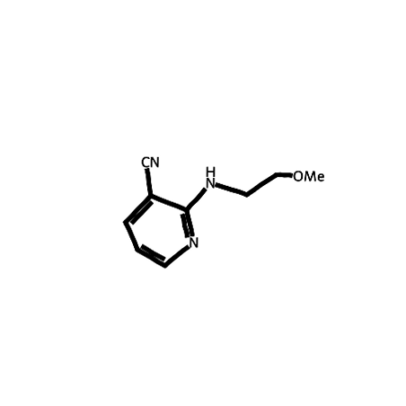 COCCNc1ncccc1C#N